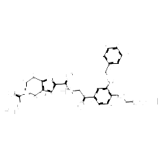 CC(C)(C)OC(=O)N1CCc2sc(C(=O)NCC(=O)c3ccc(OCC(=O)O)c(OCc4ccccc4)c3)cc2C1